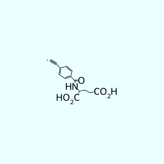 [C]#Cc1ccc(C(=O)NC(CCC(=O)O)C(=O)O)cc1